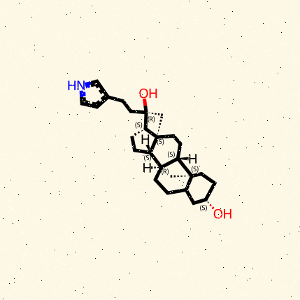 C[C@]12CC[C@H]3[C@@H](CCC4C[C@@H](O)CC[C@@]43C)[C@@H]1CC[C@@H]2[C@](C)(O)CCc1cc[nH]c1